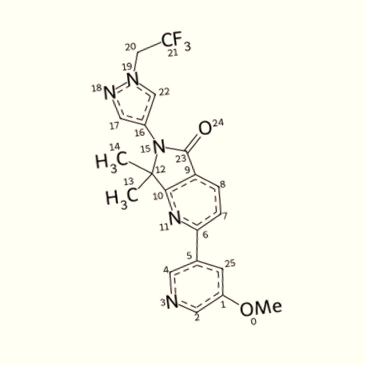 COc1cncc(-c2ccc3c(n2)C(C)(C)N(c2cnn(CC(F)(F)F)c2)C3=O)c1